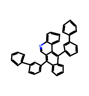 c1ccc(-c2cccc(-c3c4ccccc4c(-c4cccc(-c5ccccc5)c4)c4c3cnc3ccccc34)c2)cc1